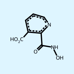 O=C(O)c1cccnc1C(=O)NO